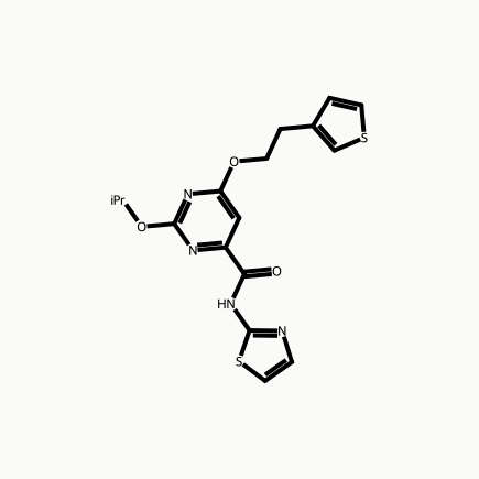 CC(C)Oc1nc(OCCc2ccsc2)cc(C(=O)Nc2nccs2)n1